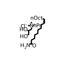 CCCCCCCC/C=C\CCCCCCCC(N)=O.CCC[N+](C)(C)CC(O)CO.[Cl-]